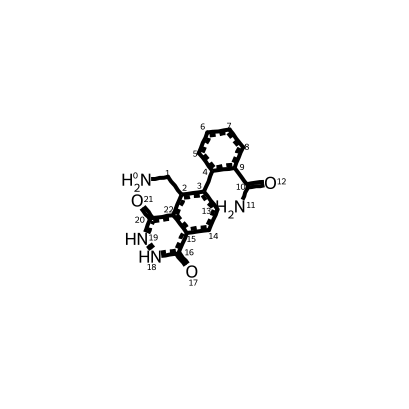 NCc1c(-c2ccccc2C(N)=O)ccc2c(=O)[nH][nH]c(=O)c12